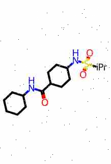 CC(C)S(=O)(=O)NC1CCC(C(=O)NC2CCCCC2)CC1